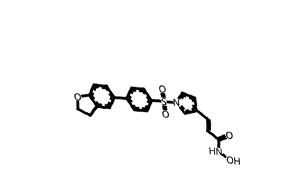 O=C(C=Cc1ccn(S(=O)(=O)c2ccc(-c3ccc4c(c3)CCO4)cc2)c1)NO